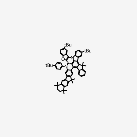 CC(C)(C)c1ccc(N2B3c4oc5ccc(C(C)(C)C)cc5c4-n4c5ccc(C(C)(C)C)cc5c5c6c(c(c3c54)-c3cc4c(cc32)-c2cc3c(cc2C4(C)C)C(C)(C)CCC3(C)C)-c2ccccc2C6(C)C)cc1